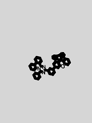 c1ccc(-c2nc(-c3cccc(-c4ccc5c(c4)Oc4ccccc4C54c5ccccc5-c5ccccc54)c3)nc(-c3ccccc3-c3ccccc3)n2)cc1